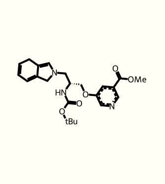 COC(=O)c1cncc(OC[C@@H](CN2C=C3CC=CC=C3C2)NC(=O)OC(C)(C)C)c1